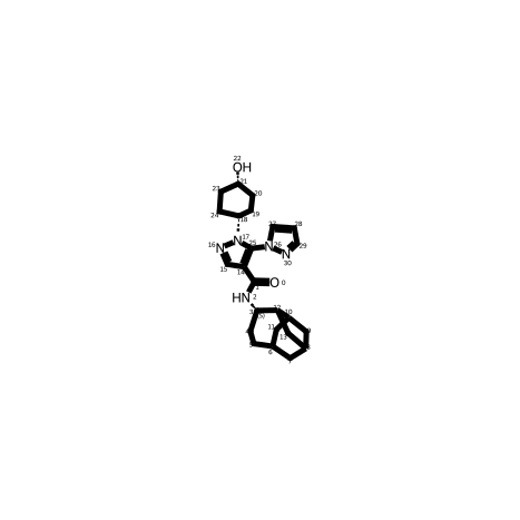 O=C(N[C@H]1CCC2CC3CC(C2)C1C3)c1cnn([C@H]2CC[C@@H](O)CC2)c1-n1cccn1